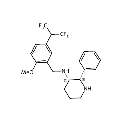 COc1ccc(C(C(F)(F)F)C(F)(F)F)cc1CN[C@H]1CCCN[C@H]1c1ccccc1